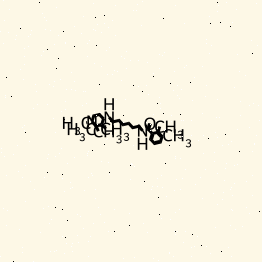 Cc1cccc(C(=O)NCCCCCCNC2CCN(C)C(C)(C)C2C)c1C